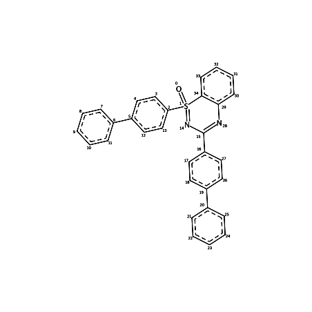 O=S1(c2ccc(-c3ccccc3)cc2)=NC(c2ccc(-c3ccccc3)cc2)=Nc2ccccc21